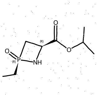 CC[P@@]1(=O)C[C@@H](C(=O)OC(C)C)N1